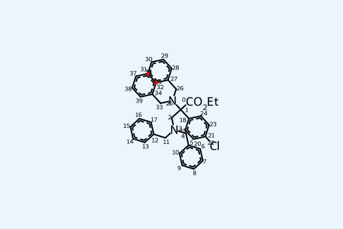 CCOC(=O)C(CN(Cc1ccccc1)Cc1ccccc1)(c1ccc(Cl)cc1)N(Cc1ccccc1)Cc1ccccc1